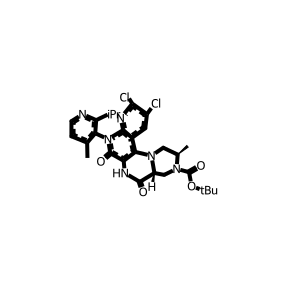 Cc1ccnc(C(C)C)c1-n1c(=O)c2c(c3cc(Cl)c(Cl)nc31)N1C[C@@H](C)N(C(=O)OC(C)(C)C)C[C@@H]1C(=O)N2